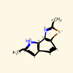 Cc1cc2ccc3sc(C)nc3c2[nH]1